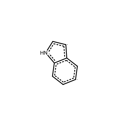 [c]1ccc2[nH]c[c]c2c1